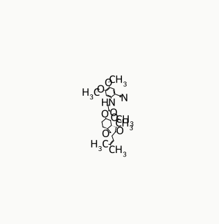 COc1cc(C#N)c(NCC(=O)O[C@@H]2CC[C@]3(CO3)[C@@H]([C@@]3(C)OC3CC=C(C)C)[C@@H]2OC)cc1OC